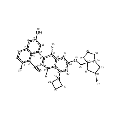 C#Cc1c(F)ccc2cc(O)cc(-c3nc(C)c4c(N5CCC5)nc(OC[C@@]56CCCN5C[C@H](F)C6)nc4c3F)c12